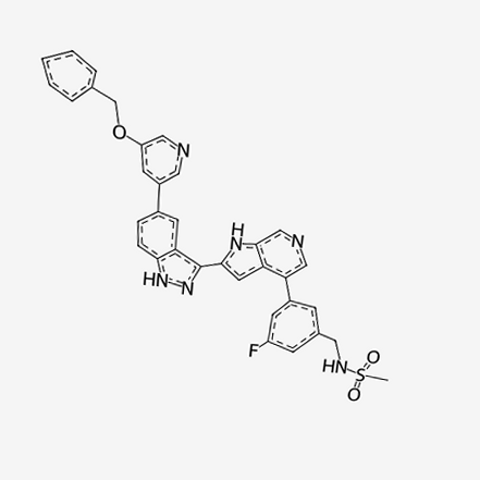 CS(=O)(=O)NCc1cc(F)cc(-c2cncc3[nH]c(-c4n[nH]c5ccc(-c6cncc(OCc7ccccc7)c6)cc45)cc23)c1